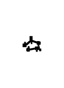 CCNCC.PCl